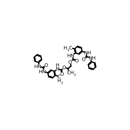 Cc1ccc(NC(=O)Nc2ccccc2)cc1NC(=O)OCC(C)OC(=O)Nc1cc(NC(=O)Nc2ccccc2)ccc1C